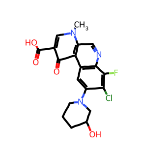 Cn1cc(C(=O)O)c(=O)c2c3cc(N4CCCC(O)C4)c(Cl)c(F)c3ncc21